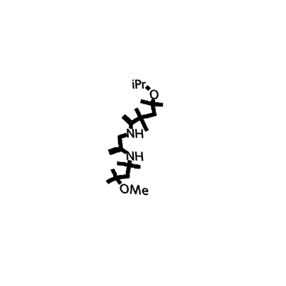 C=C(CNC(=C)C(C)(C)CC(C)(C)OC(C)C)NC(C)(C)CC(C)(C)OC